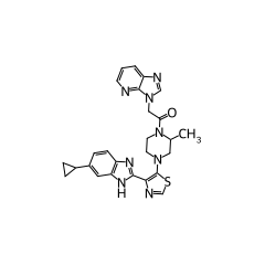 CC1CN(c2scnc2-c2nc3ccc(C4CC4)cc3[nH]2)CCN1C(=O)Cn1cnc2cccnc21